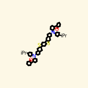 CC(C)c1ccc(N(c2ccc3cc4c(cc3c2)sc2cc3c(cc24)sc2cc4cc(N(c5ccc(C(C)C)cc5)c5cccc6c5oc5ccccc56)ccc4cc23)c2cccc3c2oc2ccccc23)cc1